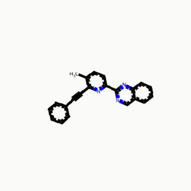 Cc1ccc(-c2ncc3ccccc3n2)nc1C#Cc1ccccc1